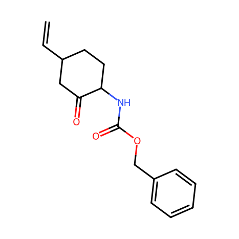 C=CC1CCC(NC(=O)OCc2ccccc2)C(=O)C1